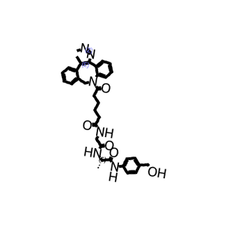 C/N=N\C1=C(/C)c2ccccc2CN(C(=O)CCCCC(=O)NCC(=O)N[C@@H](C)C(=O)Nc2ccc(CO)cc2)c2ccccc21